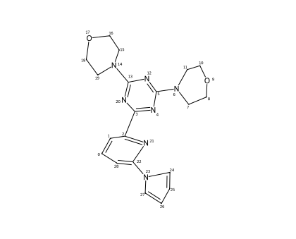 c1cc(-c2nc(N3CCOCC3)nc(N3CCOCC3)n2)nc(-n2cccc2)c1